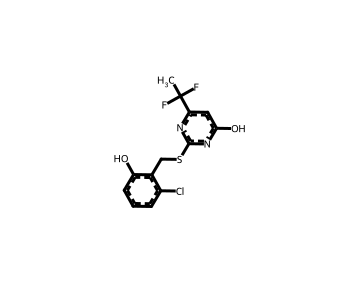 CC(F)(F)c1cc(O)nc(SCc2c(O)cccc2Cl)n1